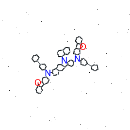 c1ccc(-c2ccc(N(c3ccc4cc5c6ccc(N(c7ccc(-c8ccccc8)cc7)c7ccc8c(c7)oc7ccccc78)cc6n(-c6cccc7ccccc67)c5cc4c3)c3ccc4c(c3)oc3ccccc34)cc2)cc1